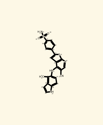 Cc1c(Nc2c(C#N)cnc3sc(-c4ccc(S(N)(=O)=O)cc4)cc23)ccc2[nH]ccc12